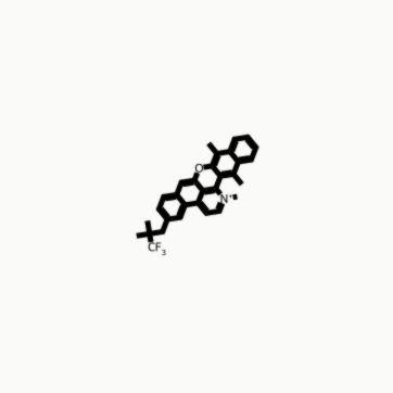 Cc1c2c(c(C)c3ccccc13)-c1c3c(cc4ccc(CC(C)(C)C(F)(F)F)cc4c3cc[n+]1C)O2